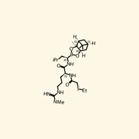 CCSCC(=O)N[C@@H](CCCNC(=N)NC)C(=O)N[C@@H](CC(C)C)B1O[C@@H]2C[C@@H]3C[C@@H](C3(C)C)[C@]2(C)O1